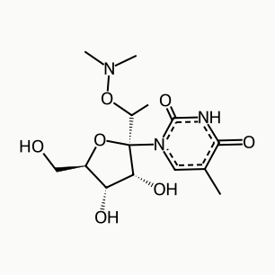 Cc1cn([C@]2(C(C)ON(C)C)O[C@H](CO)[C@@H](O)[C@H]2O)c(=O)[nH]c1=O